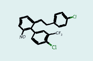 O=Nc1cccc(CCc2ccc(Cl)cc2)c1-c1ccc(Cl)c(C(F)(F)F)c1